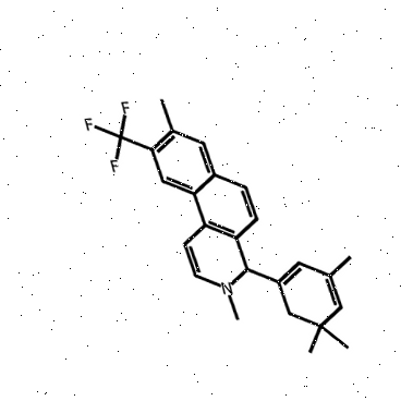 CC1=CC(C)(C)CC(C2c3ccc4cc(C)c(C(F)(F)F)cc4c3C=CN2C)=C1